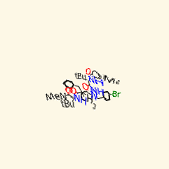 CNC(=O)[C@@H](NC(=O)C(C)(CCN(Cc1ccc(Br)cc1)NC(=O)[C@@H](NC(=O)OC)C(C)(C)C)Cc1ccccc1)C(C)(C)C